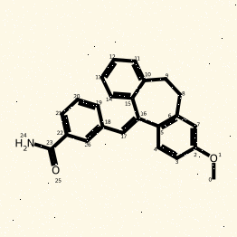 COc1ccc2c(c1)CCc1ccccc1C2=Cc1cccc(C(N)=O)c1